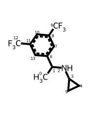 CC(NC1CC1)c1cc(C(F)(F)F)cc(C(F)(F)F)c1